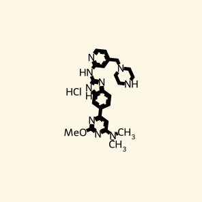 COc1nc(-c2ccc3nc(Nc4cc(CN5CCNCC5)ccn4)[nH]c3c2)cc(N(C)C)n1.Cl